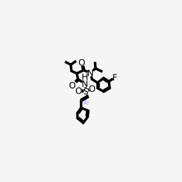 CC(C)CC(C(=O)NS(=O)(=O)/C=C/c1ccccc1)C(=O)N(Cc1cccc(F)c1)C(C)C